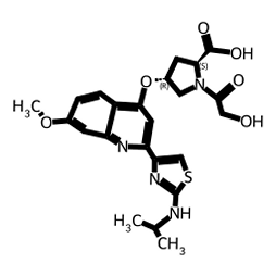 COc1ccc2c(O[C@@H]3C[C@@H](C(=O)O)N(C(=O)CO)C3)cc(-c3csc(NC(C)C)n3)nc2c1